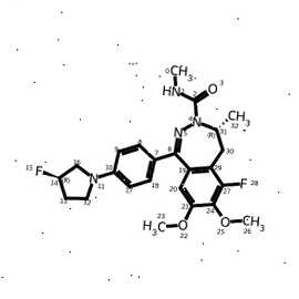 CNC(=O)N1N=C(c2ccc(N3CC[C@@H](F)C3)cc2)c2cc(OC)c(OC)c(F)c2C[C@H]1C